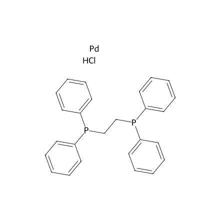 Cl.[Pd].c1ccc(P(CCP(c2ccccc2)c2ccccc2)c2ccccc2)cc1